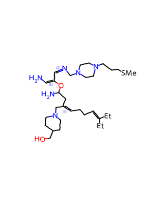 CCC(=CCC/C=C(\CC(N)OC(/C=N\CN1CCN(CCCSC)CC1)=C/N)CN1CCC(CO)CC1)CC